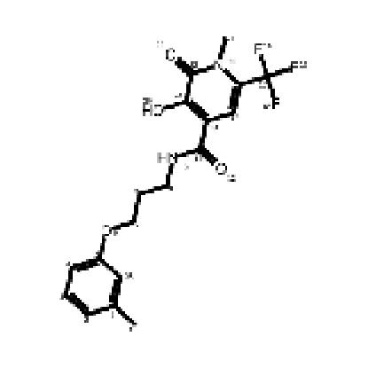 Cc1cccc(OCCCNC(=O)c2cc(C(F)(F)F)n(C)c(=O)c2O)c1